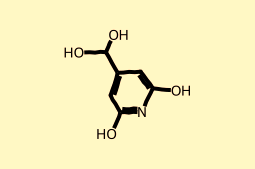 Oc1cc(C(O)O)cc(O)n1